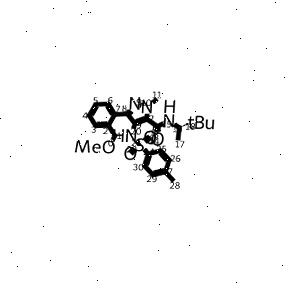 COCc1ccccc1-c1nn(C)c(C(=O)N[C@@H](C)C(C)(C)C)c1NS(=O)(=O)c1ccc(C)cc1